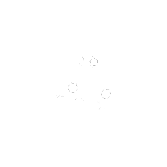 COc1cc(OC2CCN(C(=O)c3ncc[nH]3)CC2)ccc1C(=O)N1CCC(N2C(=O)OCc3ccccc32)CC1